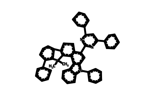 C[Si]1(C)c2c(-c3ccccc3)cccc2-c2ccc3c(-c4nc(-c5ccccc5)cc(-c5ccccc5)n4)cc4c(c5ccccc5n4-c4ccccc4)c3c21